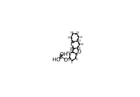 OB(O)Oc1ccc2oc3cc4ccccc4cc3c2c1